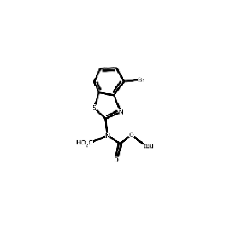 CC(C)(C)OC(=O)N(C(=O)O)c1nc2c(Br)cccc2s1